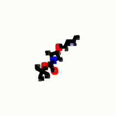 C/C=C/COC1CN(C(=O)OC(C)(C)C)C1